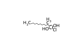 CCCCCCCCCCC(C)c1cc(O)c(Cl)cc1O